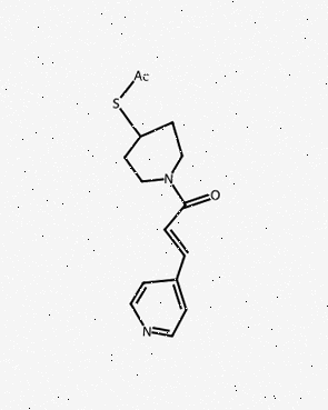 CC(=O)SC1CCN(C(=O)C=Cc2ccncc2)CC1